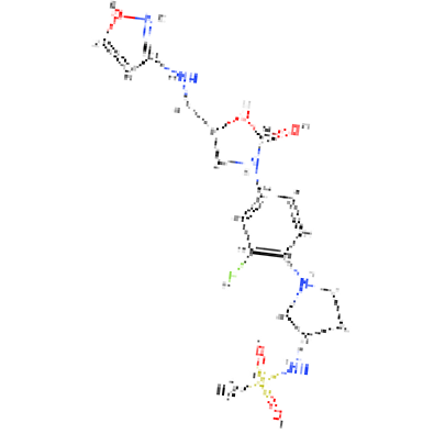 CS(=O)(=O)N[C@H]1CCN(c2ccc(N3C[C@H](CNc4ccon4)OC3=O)cc2F)C1